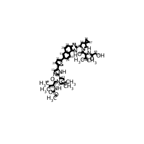 COC(=O)N[C@H](C(=O)N1C[Si](C)(C)C[C@H]1c1ncc(-c2ccc(-c3ccc4c(ccc5nc([C@@H]6CC7(CC7)CN6C(=O)[C@@H](NC(=O)CO)C(C)C)[nH]c54)c3)s2)[nH]1)C(C)C